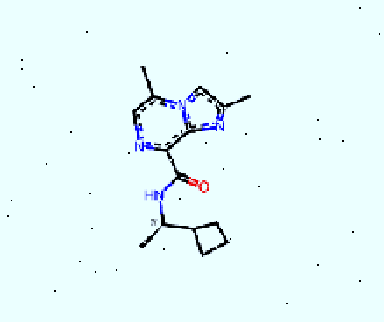 Cc1cn2c(C)cnc(C(=O)N[C@H](C)C3CCC3)c2n1